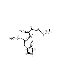 CC(CCC(=O)O)C(=O)NC(Cc1cnc[nH]1)C(=O)O